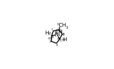 C[C@H]1C[C@H]2CC[C@@H](C1)N2C